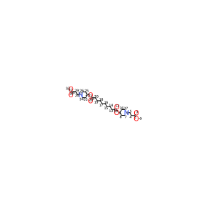 COC(=O)CCN1CCC(OC(=O)CCCCCCCCC(=O)OC2CCN(CCC(=O)OC)CC2)CC1